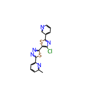 Cc1cccc(-c2nnc(-c3sc(-c4cccnc4)nc3Cl)s2)n1